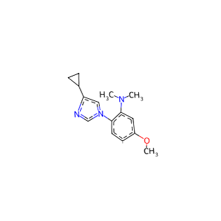 COc1[c]cc(-n2cnc(C3CC3)c2)c(N(C)C)c1